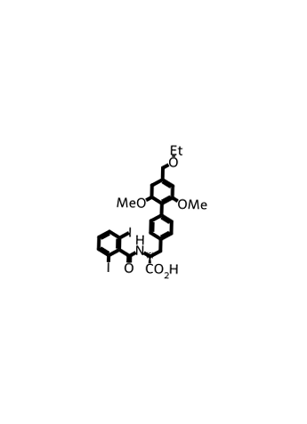 CCOCC1=CC(OC)=C(c2ccc(C[C@H](NC(=O)c3c(I)cccc3I)C(=O)O)cc2)C(OC)C1